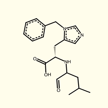 CC(C)CC(C=O)N[C@@H](Cc1cncn1Cc1ccccc1)C(=O)O